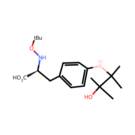 CC(C)(C)ON[C@@H](Cc1ccc(BC(C)(C)C(C)(C)O)cc1)C(=O)O